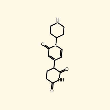 O=C1CCC(c2ccn(C3CCNCC3)c(=O)c2)C(=O)N1